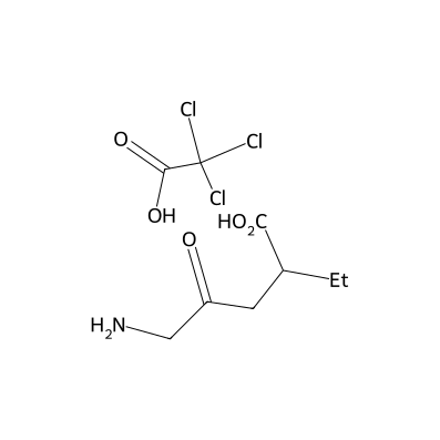 CCC(CC(=O)CN)C(=O)O.O=C(O)C(Cl)(Cl)Cl